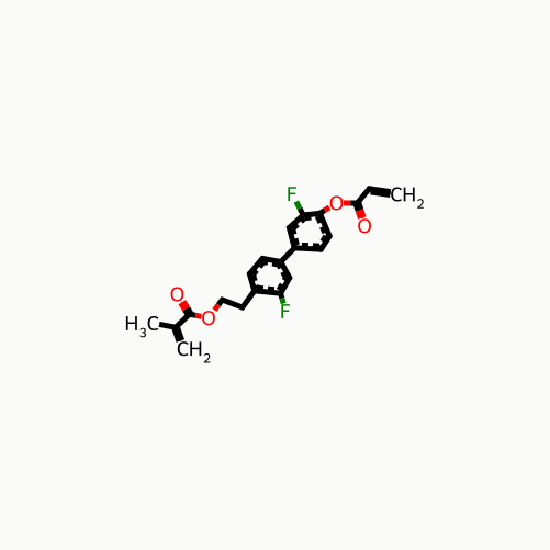 C=CC(=O)Oc1ccc(-c2ccc(CCOC(=O)C(=C)C)c(F)c2)cc1F